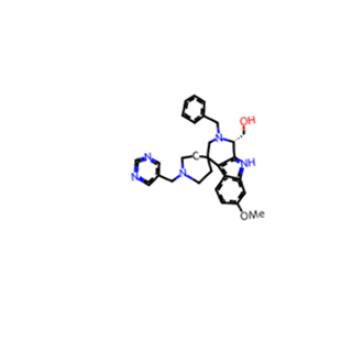 COc1ccc2c3c([nH]c2c1)[C@@H](CO)N(Cc1ccccc1)CC31CCN(Cc2cncnc2)CC1